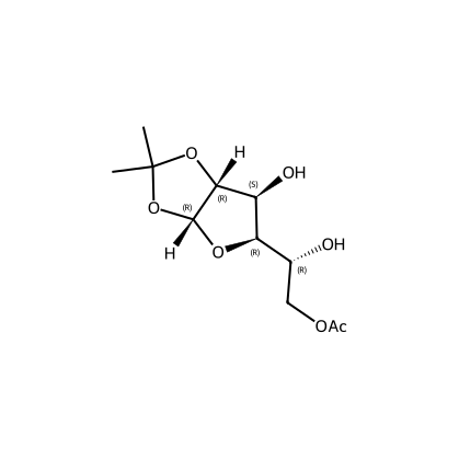 CC(=O)OC[C@@H](O)[C@H]1O[C@@H]2OC(C)(C)O[C@@H]2[C@H]1O